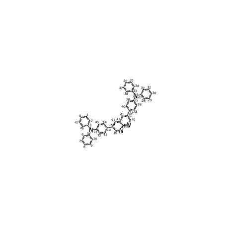 c1ccc(N(c2ccccc2)c2ccc(-c3cnc4ncc(-c5ccc(N(c6ccccc6)c6ccccc6)cc5)cc4c3)cc2)cc1